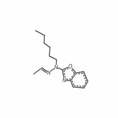 C/C=N/N(CCCCCC)c1nc2ccccc2o1